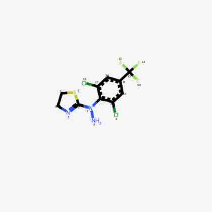 NN(C1=NCCS1)c1c(Cl)cc(C(F)(F)F)cc1Cl